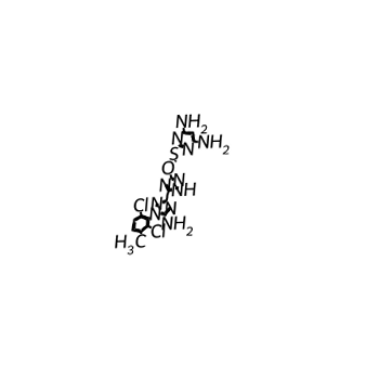 Cc1ccc(Cl)c(-n2nc(-c3nc(OCSc4nc(N)cc(N)n4)n[nH]3)nc2N)c1Cl